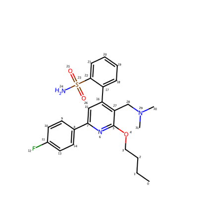 CCCCOc1nc(-c2ccc(F)cc2)cc(-c2ccccc2S(N)(=O)=O)c1CN(C)C